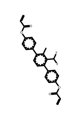 C=CC(=O)Oc1ccc(-c2ccc(-c3ccc(OC(=O)C=C)cc3)c(C(F)F)c2C)cc1